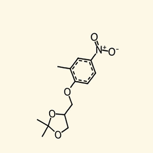 Cc1cc([N+](=O)[O-])ccc1OCC1COC(C)(C)O1